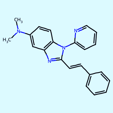 CN(C)c1ccc2c(c1)nc(/C=C/c1ccccc1)n2-c1ccccn1